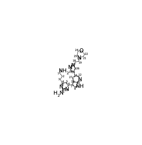 NCCCc1cc(-c2c[nH]c3ncc(-c4cnn(CCN5CCOCC5)c4)cc23)nc(N)n1